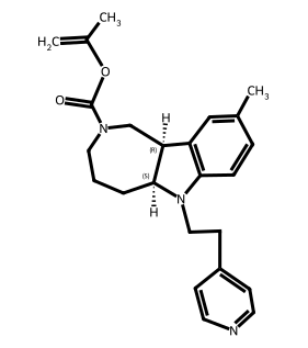 C=C(C)OC(=O)N1CCC[C@H]2[C@@H](C1)c1cc(C)ccc1N2CCc1ccncc1